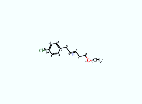 [CH2]OCC/C=C/Cc1ccc(Cl)cc1